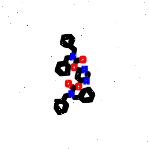 O=C(Oc1cc(OC(=O)N(Cc2ccccc2)Cc2ccccc2)ncn1)N(Cc1ccccc1)Cc1ccccc1